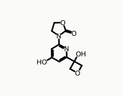 O=C1OCCN1c1cc(O)cc(C2(O)COC2)n1